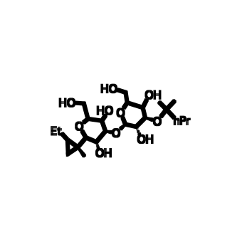 CCCC(C)(C)O[C@@H]1C(O)C(CO)O[C@H](O[C@@H]2C(O)C(CO)OC([C@]3(C)CC3CC)[C@H]2O)[C@H]1O